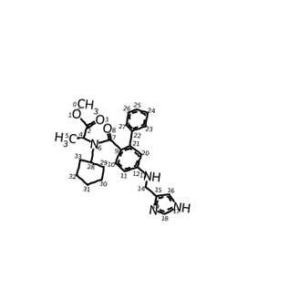 COC(=O)[C@H](C)N(C(=O)c1ccc(NCc2c[nH]cn2)cc1-c1ccccc1)C1CCCCC1